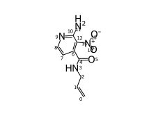 C=CCNC(=O)c1ccnc(N)c1[N+](=O)[O-]